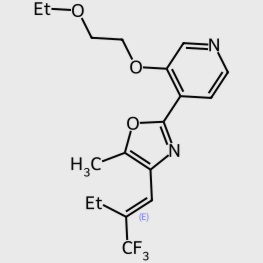 CCOCCOc1cnccc1-c1nc(/C=C(\CC)C(F)(F)F)c(C)o1